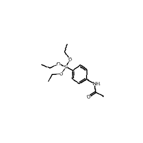 CCO[Si](OCC)(OCC)c1ccc(NC(C)=O)cc1